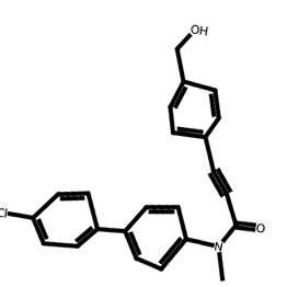 CN(C(=O)C#Cc1ccc(CO)cc1)c1ccc(-c2ccc(Cl)cc2)cc1